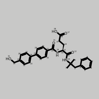 CC(C)(Cc1ccccc1)NC(=O)[C@H](CCC(=O)O)NC(=O)c1ccc(-c2ccc(CO)cc2)cc1